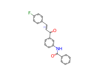 O=C(/C=C/c1ccc(F)cc1)c1cccc(NC(=O)c2ccccc2)c1